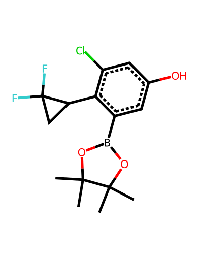 CC1(C)OB(c2cc(O)cc(Cl)c2C2CC2(F)F)OC1(C)C